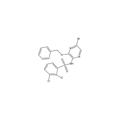 O=S(=O)(Nc1ncc(Br)nc1OCc1ccccc1)c1cccc(Cl)c1Cl